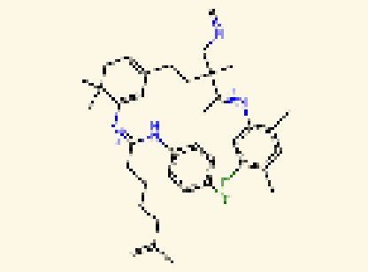 C=NCC(C)(CCC1=CCC(C)(C)C(/N=C(/CCCCC(=C)C)Nc2ccc(Cl)cc2)=C1)/C(C)=N/c1cc(F)c(C)cc1C